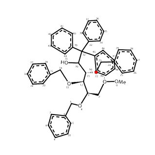 COOC[C@@H](OCc1ccccc1)[C@@H](OCc1ccccc1)[C@@H](OCc1ccccc1)C(O)C(c1ccccc1)(c1ccccc1)c1ccccc1